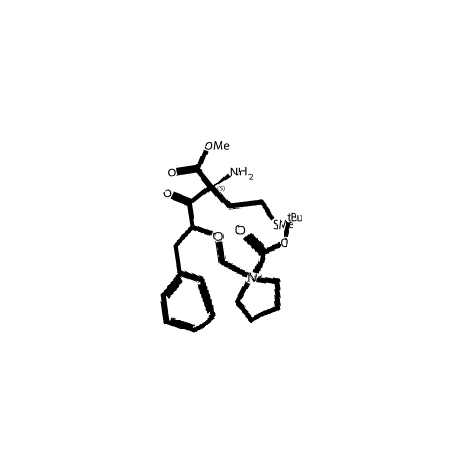 COC(=O)[C@](N)(CCSC)C(=O)C(Cc1ccccc1)OC[N+]1(C(=O)OC(C)(C)C)CCCC1